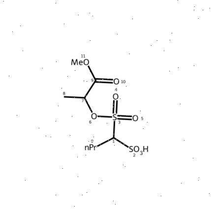 CCCC(S(=O)(=O)O)S(=O)(=O)OC(C)C(=O)OC